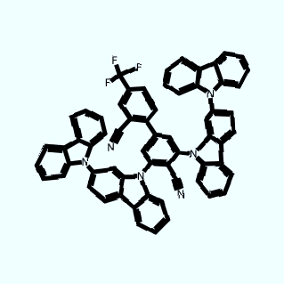 N#Cc1cc(C(F)(F)F)ccc1-c1cc(-n2c3ccccc3c3ccc(-n4c5ccccc5c5ccccc54)cc32)c(C#N)c(-n2c3ccccc3c3ccc(-n4c5ccccc5c5ccccc54)cc32)c1